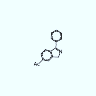 CC(=O)c1ccc2c(c1)CN=C2c1ccccc1